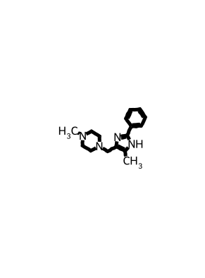 Cc1[nH]c(-c2ccccc2)nc1CN1CCN(C)CC1